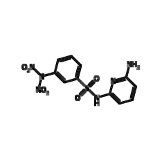 Nc1cccc(NS(=O)(=O)c2cccc(N([N+](=O)[O-])[N+](=O)[O-])c2)n1